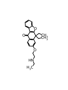 CCNCCOc1ccc2c(c1)C(CC)(CC)c1oc3ccccc3c1C2=O